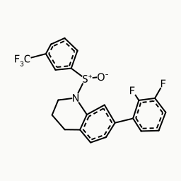 [O-][S+](c1cccc(C(F)(F)F)c1)N1CCCc2ccc(-c3cccc(F)c3F)cc21